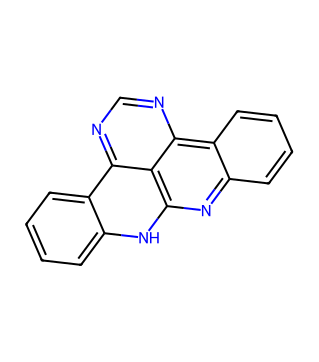 c1ccc2c(c1)Nc1nc3ccccc3c3ncnc-2c13